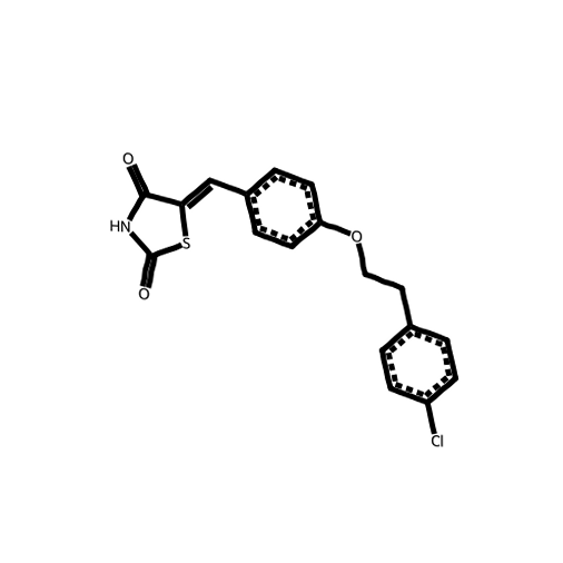 O=C1NC(=O)/C(=C/c2ccc(OCCc3ccc(Cl)cc3)cc2)S1